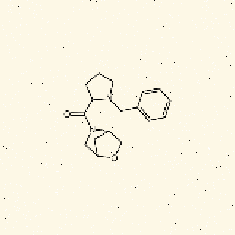 O=C(C1CCCN1Cc1ccccc1)N1CC2CC1CO2